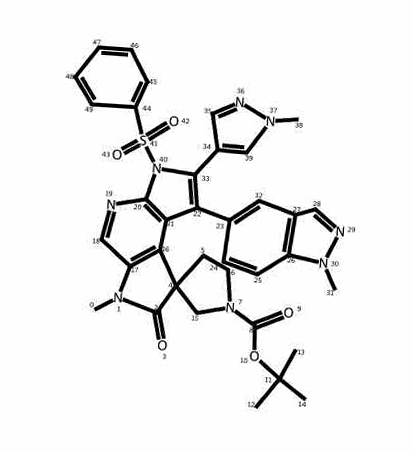 CN1C(=O)C2(CCN(C(=O)OC(C)(C)C)C2)c2c1cnc1c2c(-c2ccc3c(cnn3C)c2)c(-c2cnn(C)c2)n1S(=O)(=O)c1ccccc1